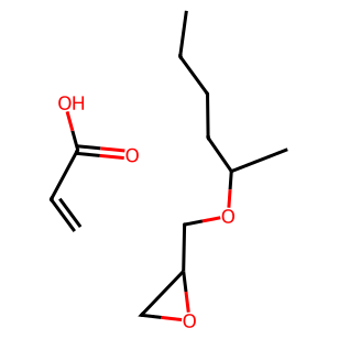 C=CC(=O)O.CCCCC(C)OCC1CO1